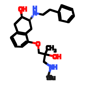 CC(O)(CNC(C)(C)C)COc1cccc2c1C[C@@H](NCCc1ccccc1)[C@H](O)C2